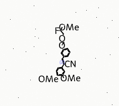 COc1ccc(/C(C#N)=C/c2cccc(OCOCC(F)OC)c2)cc1OC